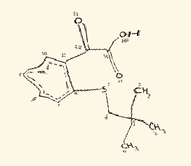 CC(C)(C)CSc1ccccc1C(=O)C(=O)O